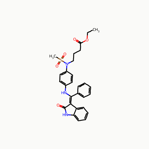 CCOC(=O)CCCN(c1ccc(N/C(=C2\C(=O)Nc3ccccc32)c2ccccc2)cc1)S(C)(=O)=O